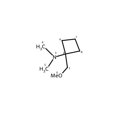 COCC1(N(C)C)CCC1